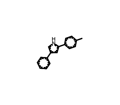 Cc1ccc(-c2cc(-c3ccccc3)c[nH]2)cc1